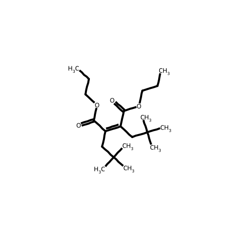 CCCOC(=O)C(CC(C)(C)C)=C(CC(C)(C)C)C(=O)OCCC